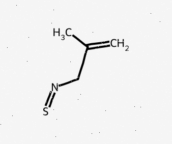 C=C(C)CN=S